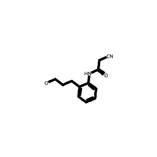 N#CCC(=O)Nc1ccccc1CCC[O]